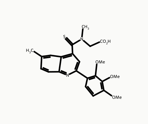 COc1ccc(-c2cc(C(=S)N(C)CC(=O)O)c3cc(C)ccc3n2)c(OC)c1OC